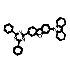 C1=Cc2c(c3c(n2-c2ccc4c(c2)oc2cc(-c5nc(-c6ccccc6)nc(-c6ccccc6)n5)ccc24)C=CCC3)CC1